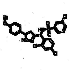 CCOc1ccc(C2CC(C(NS(=O)(=O)c3cccc(Cl)c3)c3ccc(Cl)cc3Cl)=NN2)cc1